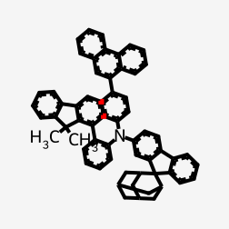 CC1(C)c2ccccc2-c2cccc(-c3ccccc3N(c3ccc(-c4cc5ccccc5c5ccccc45)cc3)c3ccc4c(c3)C3(c5ccccc5-4)C4CC5CC(C4)CC3C5)c21